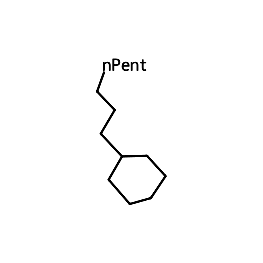 CCC[CH]CCCCC1CCCCC1